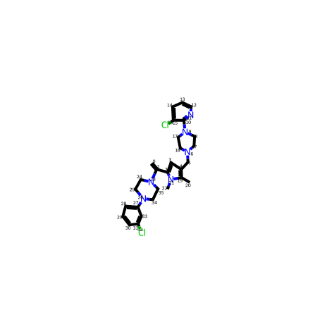 C=C(c1cc(CN2CCN(c3ncccc3Cl)CC2)c(C)n1C)N1CCN(c2cccc(Cl)c2)CC1